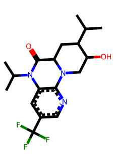 CC(C)C1CC2C(=O)N(C(C)C)c3cc(C(F)(F)F)cnc3N2CC1O